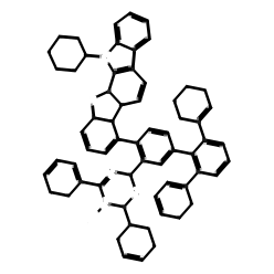 CN1C(C2=CC=CCC2)=NC(c2cc(-c3c(C4=CC=CCC4)cccc3C3=CCCCC3)ccc2C2=CC=CC3SC4c5c(c6ccccc6n5C5CCCCC5)C=CC4C23)NC1C1CC=CCC1